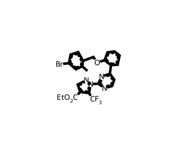 CCOC(=O)c1cnn(-c2nccc(-c3ccccc3OCc3ccc(Br)cc3C)n2)c1C(F)(F)F